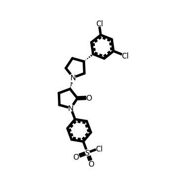 O=C1[C@@H](N2CC[C@H](c3cc(Cl)cc(Cl)c3)C2)CCN1c1ccc(S(=O)(=O)Cl)cc1